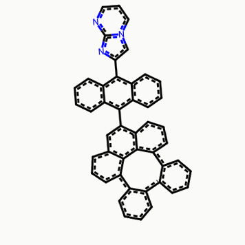 c1ccc2c(-c3cc4cccc5c6ccccc6c6ccccc6c6cccc3c6c45)c3ccccc3c(-c3cn4cccnc4n3)c2c1